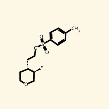 Cc1ccc(S(=O)(=O)OCC[C@H]2CCOC[C@@H]2F)cc1